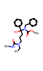 CC(C)CN(CCCC(O)(c1ccccc1)N(Cc1ccccc1)C(=O)OC(C)(C)C)C(=O)NC(C)(C)C